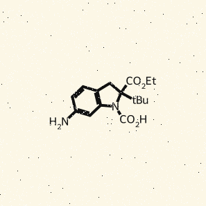 CCOC(=O)C1(C(C)(C)C)Cc2ccc(N)cc2N1C(=O)O